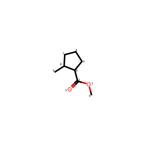 COC(=O)C1CCCC1C